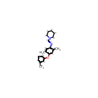 Cc1cc(Oc2cccc(C(F)(F)F)c2)c(C)cc1/N=C/N1CCCCC1